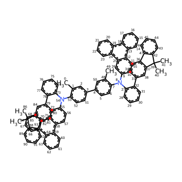 Cc1cc(-c2ccc(N(c3ccc4c5ccccc5c5ccccc5c4c3)c3ccccc3-c3ccc4c(c3)C(C)(C)c3ccccc3-4)c(C)c2)ccc1N(c1ccc2c3ccccc3c3ccccc3c2c1)c1ccccc1-c1ccc2c(c1)C(C)(C)c1ccccc1-2